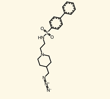 [N-]=[N+]=NCC1CCN(CCNS(=O)(=O)c2ccc(-c3ccccc3)cc2)CC1